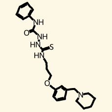 O=C(NNC(=S)NCCCOc1cccc(CN2CCCCC2)c1)Nc1ccccc1